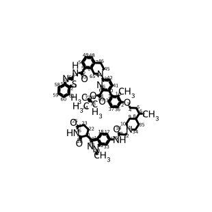 Cc1c(OCCC(C)C2CCN(CC(=O)Nc3ccc4c(C5CCC(=O)NC5=O)nn(C)c4c3)CC2)cccc1-c1ccc(N2CCc3cccc(C(=O)Nc4nc5ccccc5s4)c3C2)nc1C(=O)OC(C)(C)C